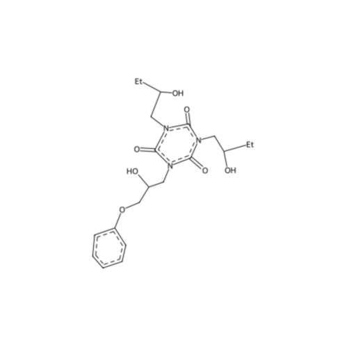 CCC(O)Cn1c(=O)n(CC(O)CC)c(=O)n(CC(O)COc2ccccc2)c1=O